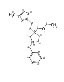 CCOCC1(CCc2cc(C)cs2)CCN(Cc2cccnc2)C1